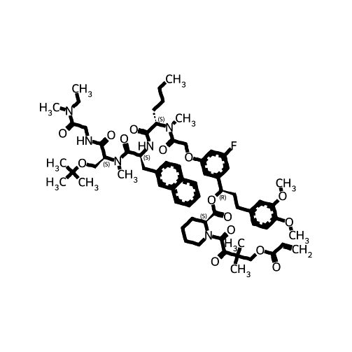 C=CC(=O)OCC(C)(C)C(=O)C(=O)N1CCCC[C@H]1C(=O)O[C@H](CCc1ccc(OC)c(OC)c1)c1cc(F)cc(OCC(=O)N(C)[C@@H](CCCC)C(=O)N[C@@H](Cc2ccc3ccccc3c2)C(=O)N(C)[C@@H](COC(C)(C)C)C(=O)NCC(=O)N(C)CC)c1